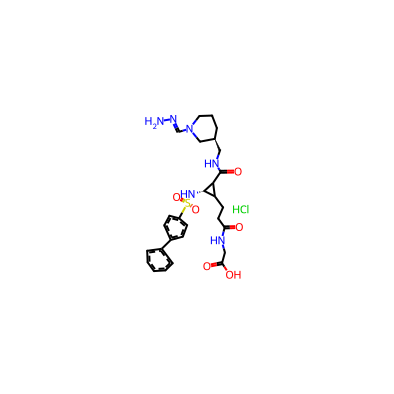 Cl.NN=CN1CCC[C@@H](CNC(=O)C2C(CCC(=O)NCC(=O)O)[C@@H]2NS(=O)(=O)c2ccc(-c3ccccc3)cc2)C1